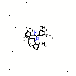 Cc1cc(C)cc(/C2=N/C3=C\C[C@](C)(CCc4cccc(C)c43)c3c(C)cc(C)cc3C2=N)c1